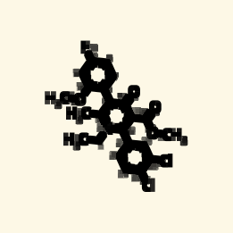 CCn1c(C)c(-c2ccc(F)cc2OC)c(=O)c(C(=O)OC)c1-c1ccc(Cl)c(Cl)c1